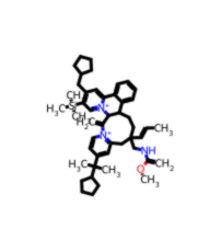 C=C(NCC1(C=CC)CCC2c3ccccc3-c3cc(CC4CCCC4)c([Si](C)(C)C)c[n+]3C2C(=C)[n+]2ccc(C(C)(C)C3CCCC3)cc2C1)OC